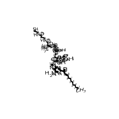 CCCCCCCCCC=CC(=O)c1nc(N)c2ncn([C@@H]3O[C@H](COP(=O)(O)OP(=O)(O)OCC(C)(C)[C@@H](O)C(=O)NCCC(=O)NCCS)[C@@H](OP(=O)(O)O)[C@H]3O)c2n1